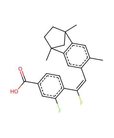 Cc1cc2c(cc1/C=C(/F)c1ccc(C(=O)O)cc1F)C1(C)CCC2(C)C1